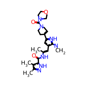 C=Nc1[nH]c(C2=CCN(C(=O)N3CCOCC3)CC2)cc1/C=C(\C)NC(=O)c1[nH]nc(C)c1C